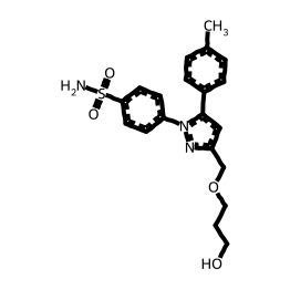 Cc1ccc(-c2cc(COCCCO)nn2-c2ccc(S(N)(=O)=O)cc2)cc1